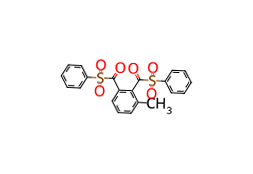 Cc1cccc(C(=O)S(=O)(=O)c2ccccc2)c1C(=O)S(=O)(=O)c1ccccc1